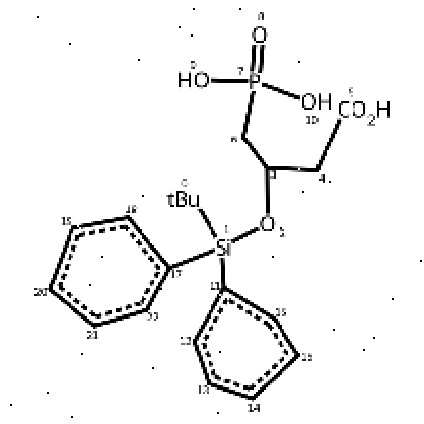 CC(C)(C)[Si](OC(CC(=O)O)CP(=O)(O)O)(c1ccccc1)c1ccccc1